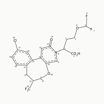 O=C(O)C(CCOC(F)F)n1cc2c(cc1=O)-c1cc(Cl)ccc1CC(C(F)(F)F)CO2